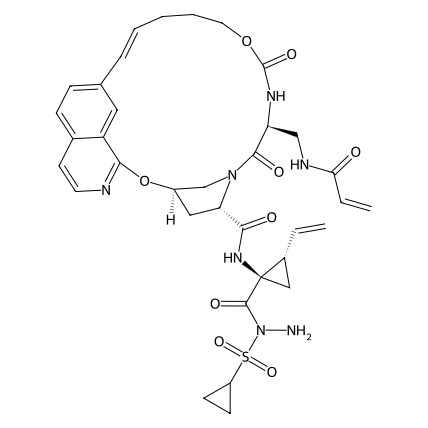 C=CC(=O)NC[C@@H]1NC(=O)OCCC/C=C/c2ccc3ccnc(c3c2)O[C@@H]2C[C@@H](C(=O)N[C@]3(C(=O)N(N)S(=O)(=O)C4CC4)C[C@H]3C=C)N(C2)C1=O